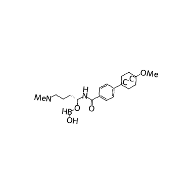 CNCCC[C@H](NC(=O)c1ccc(C23CCC(OC)(CC2)CC3)cc1)OBO